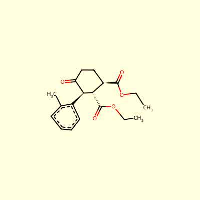 CCOC(=O)[C@@H]1[C@@H](c2ccccc2C)C(=O)CC[C@H]1C(=O)OCC